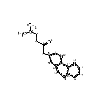 CB(C)CCC(=O)Cc1cnc2c(ccc3cccnc32)c1